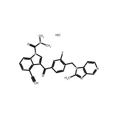 C#Cc1cccc2c1c(C(=O)c1ccc(Cn3c(C)nc4cnccc43)c(F)c1)cn2C(=O)N(C)C.Cl